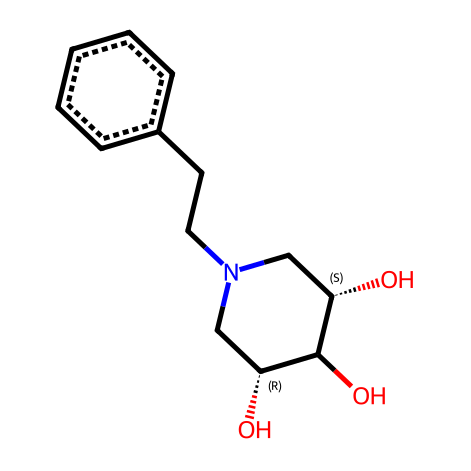 OC1[C@H](O)CN(CCc2ccccc2)C[C@@H]1O